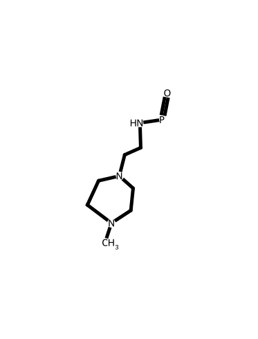 CN1CCN(CCNP=O)CC1